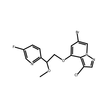 COC(COc1cc(Br)cn2ncc(Cl)c12)c1ccc(F)cn1